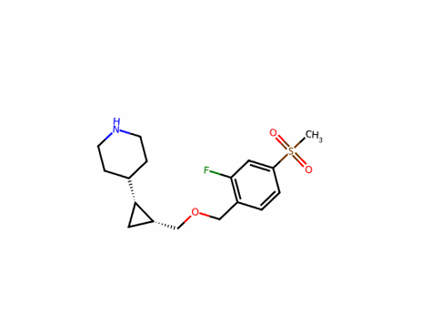 CS(=O)(=O)c1ccc(COC[C@@H]2C[C@@H]2C2CCNCC2)c(F)c1